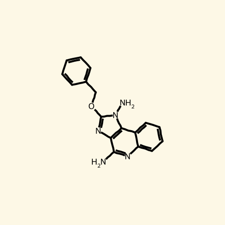 Nc1nc2ccccc2c2c1nc(OCc1ccccc1)n2N